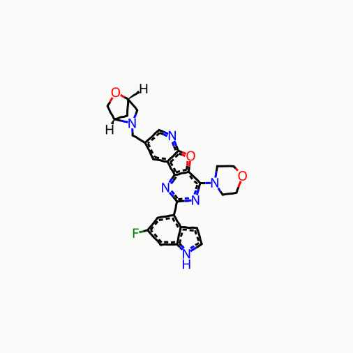 Fc1cc(-c2nc(N3CCOCC3)c3oc4ncc(CN5C[C@@H]6C[C@H]5CO6)cc4c3n2)c2cc[nH]c2c1